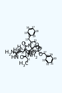 CCC(=O)N[C@H](C)C(=O)N(C(C=O)Cc1ccccc1)[C@]([C]=O)(NC(=O)OCc1ccccc1)C(N)CCNC(=N)N